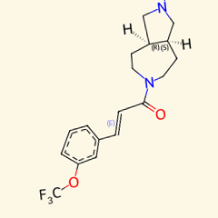 O=C(O)N1C[C@H]2CCN(C(=O)/C=C/c3cccc(OC(F)(F)F)c3)CC[C@H]2C1